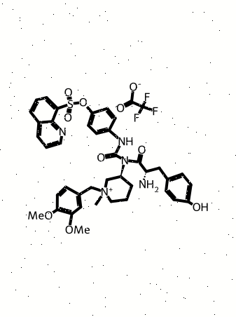 COc1ccc(C[N+]2(C)CCC[C@H](N(C(=O)Nc3ccc(OS(=O)(=O)c4cccc5cccnc45)cc3)C(=O)[C@@H](N)Cc3ccc(O)cc3)C2)cc1OC.O=C([O-])C(F)(F)F